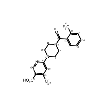 O=C(O)c1nnc(N2CCN(C(=O)c3ccccc3C(F)(F)F)CC2)cc1C(F)(F)F